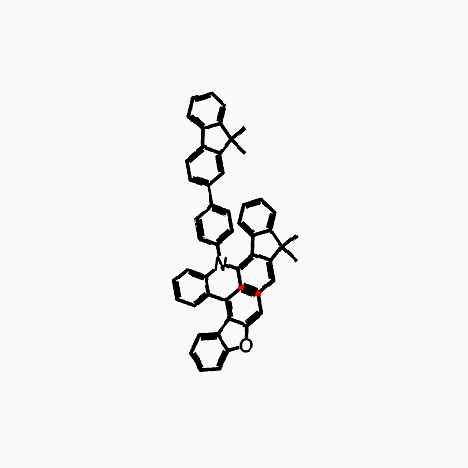 CC1(C)c2ccccc2-c2ccc(-c3ccc(N(c4ccccc4-c4cccc5oc6ccccc6c45)c4cccc5c4-c4ccccc4C5(C)C)cc3)cc21